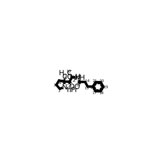 CCCN1CCC[C@]1(C(=O)O)C(=O)[C@H](C)NC(=O)CCc1ccccc1